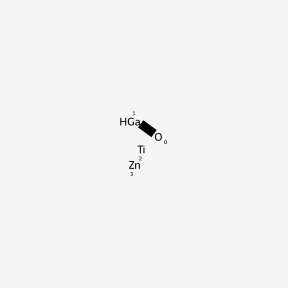 [O]=[GaH].[Ti].[Zn]